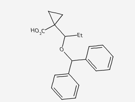 CCC(OC(c1ccccc1)c1ccccc1)C1(C(=O)O)CC1